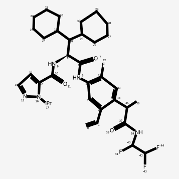 C=Cc1cc(NC(=O)[C@@H](NC(=O)c2ccnn2C(C)C)C(C2CCCCC2)C2CCCCC2)c(F)cc1C(C)C(=O)NC(F)C(F)F